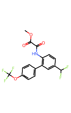 COC(=O)C(=O)Nc1ccc(C(F)F)cc1-c1ccc(OC(F)(F)F)cc1